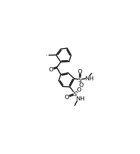 [CH2]c1ccccc1C(=O)c1ccc(S(=O)(=O)NC)c(S(=O)(=O)NC)c1